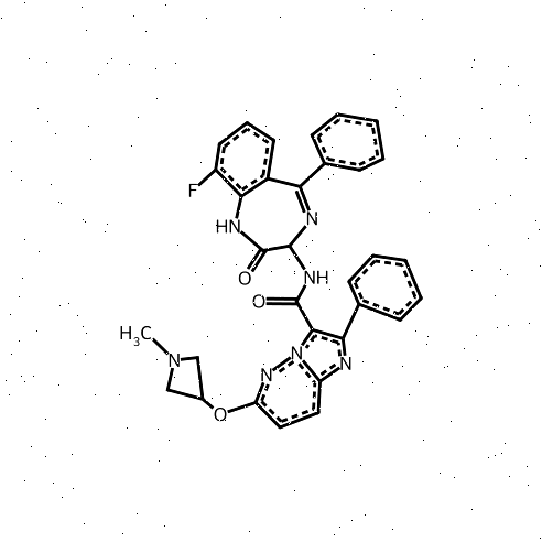 CN1CC(Oc2ccc3nc(-c4ccccc4)c(C(=O)NC4N=C(c5ccccc5)c5cccc(F)c5NC4=O)n3n2)C1